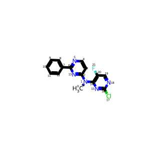 CN(c1ccnc(-c2ccccc2)n1)c1nc(Cl)ncc1F